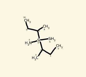 CCC(C)[Si](N)([SiH3])C(C)CC